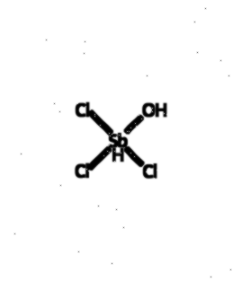 [OH][SbH]([Cl])([Cl])[Cl]